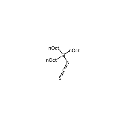 CCCCCCCC[Si](CCCCCCCC)(CCCCCCCC)N=C=S